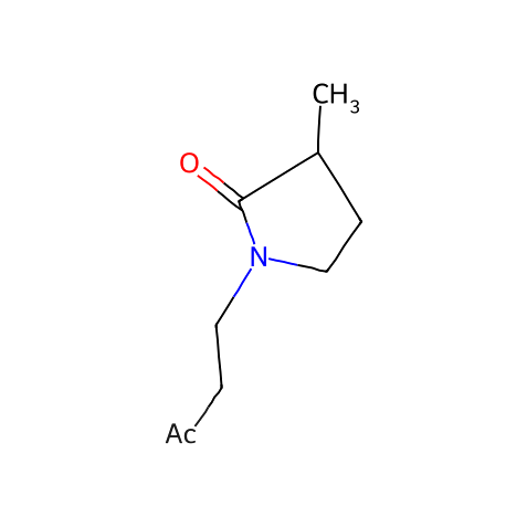 CC(=O)CCN1CCC(C)C1=O